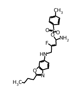 CCCCc1nc2ccc(NCC(F)=CC(N)OS(=O)(=O)c3ccc(C)cc3)cc2o1